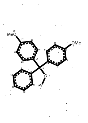 COc1ccc(C(OC(C)C)(c2ccccc2)c2ccc(OC)cc2)cc1